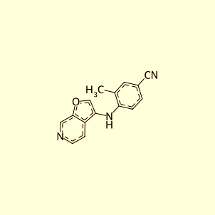 Cc1cc(C#N)ccc1Nc1coc2cnccc12